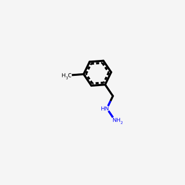 Cc1cccc(CNN)c1